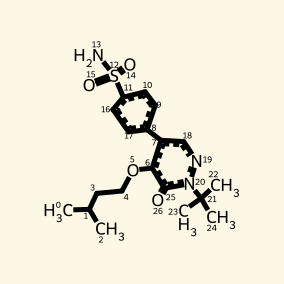 CC(C)CCOc1c(-c2ccc(S(N)(=O)=O)cc2)cnn(C(C)(C)C)c1=O